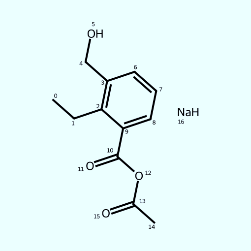 CCc1c(CO)cccc1C(=O)OC(C)=O.[NaH]